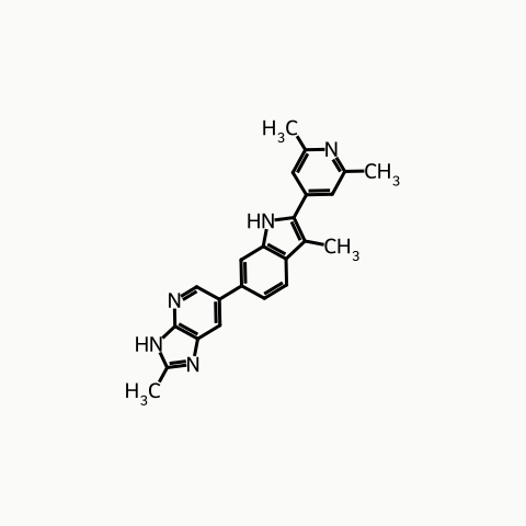 Cc1cc(-c2[nH]c3cc(-c4cnc5[nH]c(C)nc5c4)ccc3c2C)cc(C)n1